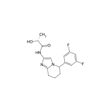 C[C@@H](O)C(=O)Nc1cn2c(n1)CCCC2c1cc(F)cc(F)c1